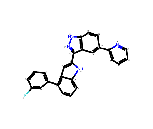 Fc1cccc(-c2cccc3[nH]c(-c4n[nH]c5ccc(-c6ccccn6)cc45)cc23)c1